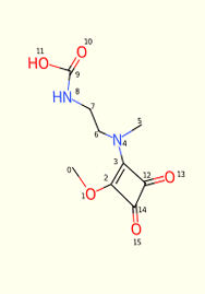 COc1c(N(C)CCNC(=O)O)c(=O)c1=O